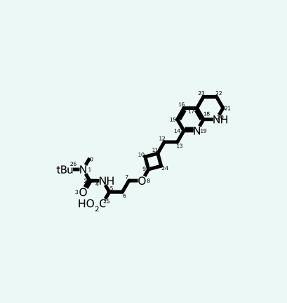 CN(C(=O)NC(CCOC1CC(CCc2ccc3c(n2)NCCC3)C1)C(=O)O)C(C)(C)C